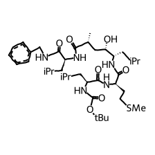 CSCC[C@@H](NC(=O)[C@H](CC(C)C)NC(=O)OC(C)(C)C)C(=O)N[C@@H](CC(C)C)[C@@H](O)C[C@@H](C)C(=O)N[C@@H](CC(C)C)C(=O)NCc1ccccc1